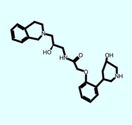 O=C(COc1ccccc1C1CNCC(O)C1)NC[C@@H](O)CN1CCc2ccccc2C1